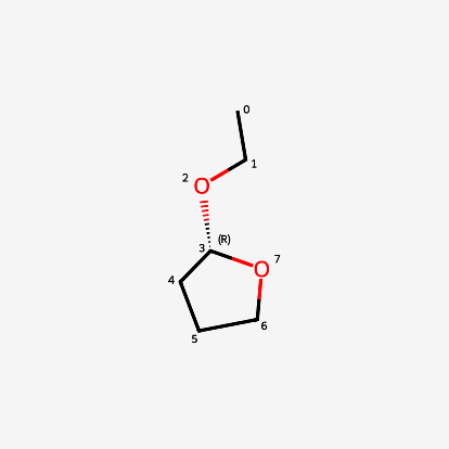 CCO[C@H]1CCCO1